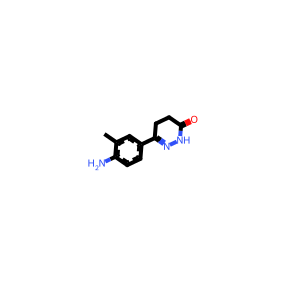 Cc1cc(C2=NNC(=O)CC2)ccc1N